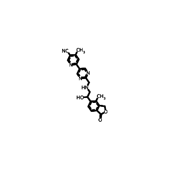 Cc1cc(-c2cnc(CNCC(O)c3ccc4c(c3C)COC4=O)nc2)ncc1C#N